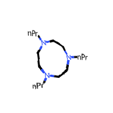 CCCN1CCN(CCC)CCN(CCC)CC1